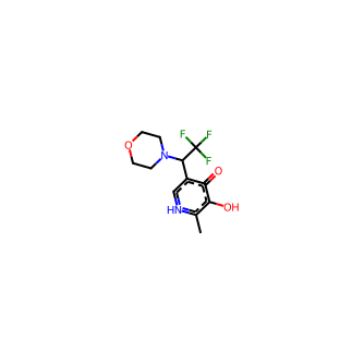 Cc1[nH]cc(C(N2CCOCC2)C(F)(F)F)c(=O)c1O